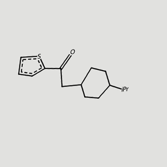 CC(C)C1CCC(CC(=O)c2cccs2)CC1